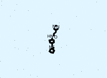 O=C(CCc1cncnc1)Nc1ccc(-c2nc3ccccc3s2)cc1